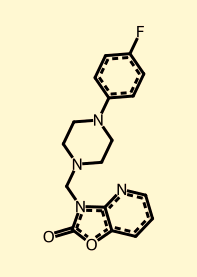 O=c1oc2cccnc2n1CN1CCN(c2ccc(F)cc2)CC1